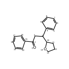 O=C(CC(c1ccccc1)C1CCCO1)c1ccccc1